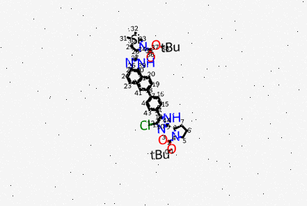 CC(C)(C)OC(=O)N1CCC[C@H]1c1nc(Cl)c(-c2ccc(-c3ccc4c(ccc5nc([C@@H]6C[Si](C)(C)CN6C(=O)OC(C)(C)C)[nH]c54)c3)cc2)[nH]1